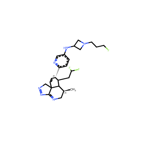 C[C@H]1CN=C2N=NCC23C=C[C@H](c2ccc(NC4CN(CCCF)C4)cn2)C(CC(F)F)C13